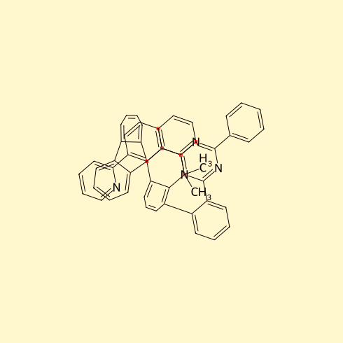 CC1(C)c2ccccc2C2(c3ccccc3-c3ccccc32)c2cccc(-c3ccccc3-c3nc(-c4ccccc4)nc(-c4cccc(-c5ccccn5)c4)n3)c21